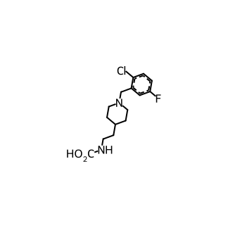 O=C(O)NCCC1CCN(Cc2cc(F)ccc2Cl)CC1